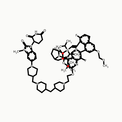 COCOc1cc(-c2ncc3c(N4CC5CCC(C4)N5C(=O)OC(C)(C)C)nc(OCCN4CCC(CC5CCN(CC6CCN(c7ccc8c(c7)n(C)c(=O)n8C7CCC(=O)NC7=O)CC6)CC5)CC4)nc3c2F)c2c(C#C[Si](C(C)C)(C(C)C)C(C)C)c(F)ccc2c1